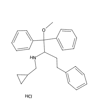 COC(c1ccccc1)(c1ccccc1)C(CCc1ccccc1)NCC1CC1.Cl